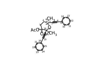 CC(=O)OC1(OC(C)=O)CC[Si](C)(C#Cc2ccccc2)OC1(C)C#Cc1ccccc1